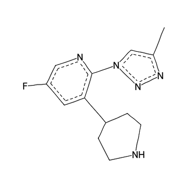 Cc1cn(-c2ncc(F)cc2C2CCNCC2)nn1